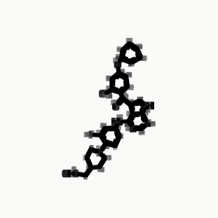 O=CCC1CCN(c2ccc(Nc3ncnc4[nH]cc(C(=O)c5ccc(Oc6ccccc6)cc5Cl)c34)cc2F)CC1